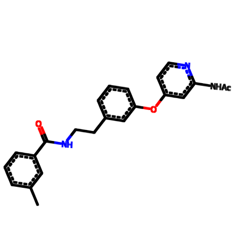 CC(=O)Nc1cc(Oc2cccc(CCNC(=O)c3cccc(C)c3)c2)ccn1